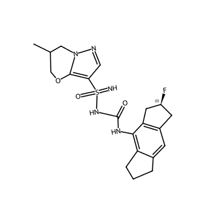 CC1COc2c(S(=N)(=O)NC(=O)Nc3c4c(cc5c3C[C@@H](F)C5)CCC4)cnn2C1